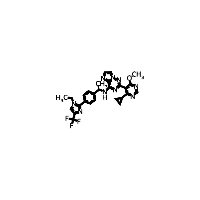 CCn1cc(C(F)(F)F)nc1-c1ccc([C@@H](C)Nc2nc(-c3c(OC)ncnc3C3CC3)nn3ccnc23)cc1